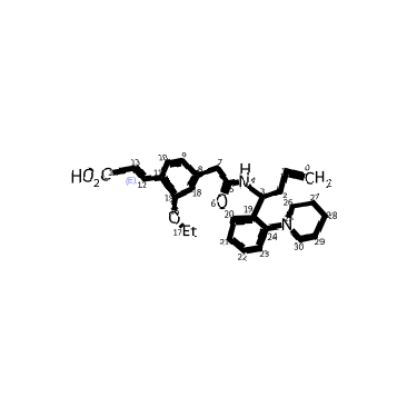 C=CCC(NC(=O)Cc1ccc(/C=C/C(=O)O)c(OCC)c1)c1ccccc1N1CCCCC1